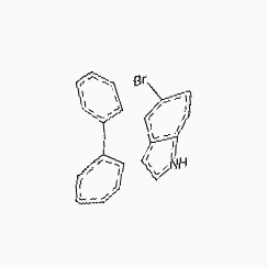 Brc1ccc2[nH]ccc2c1.c1ccc(-c2ccccc2)cc1